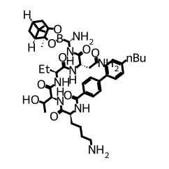 CCCCc1ccc(-c2ccc(C(=O)N[C@@H](CCCCN)C(=O)N[C@H](C(=O)N[C@@H](CC)C(=O)N[C@@H](CC(N)=O)C(=O)N[C@@H](N)B3OC4C[C@@H]5C[C@@H](C5(C)C)[C@]4(C)O3)C(C)O)cc2)cc1